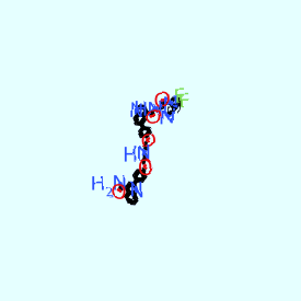 N#C[C@@H]1CC(F)(F)CN1C(=O)CNC(=O)c1ccnc2ccc(-c3ccc(OCCNCCOc4ccc(-c5cc(C(N)=O)c6ccccc6n5)cc4)cc3)cc12